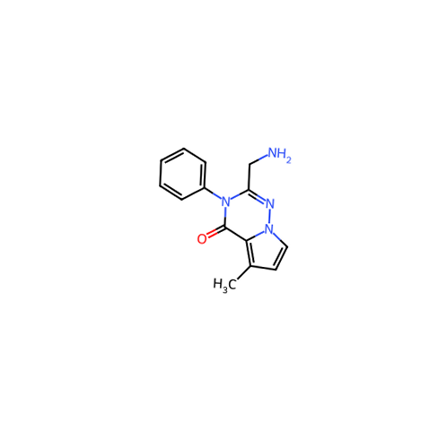 Cc1ccn2nc(CN)n(-c3ccccc3)c(=O)c12